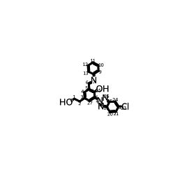 OCCc1cc(C=Nc2ccccc2)c(O)c(-n2nc3ccc(Cl)cc3n2)c1